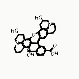 O=C(O)c1ccc(C(=O)O)c(C2=c3cc4c5c(c3Oc3c2cc2c6c3C[C@@H](O)CN6CCC2)C[C@@H](O)C[N+]=5CCC4)c1